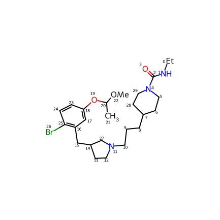 CCNC(=O)N1CCC(CCCN2CCC(Cc3cc(OC(C)OC)ccc3Br)C2)CC1